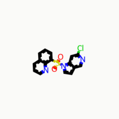 O=S(=O)(c1cccc2cccnc12)n1ccc2cnc(Cl)cc21